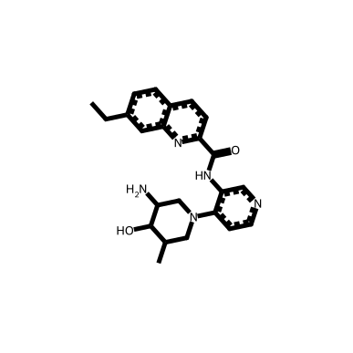 CCc1ccc2ccc(C(=O)Nc3cnccc3N3CC(C)C(O)C(N)C3)nc2c1